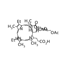 CCC1=C(C)c2cc3[nH]c(cc4nc(c(CC(=O)OC)c5[nH]c(cc1n2)c(C)c5C(=O)NCCOCCOC(C)=O)C(CCC(=O)O)C4C)c(C)c3CC